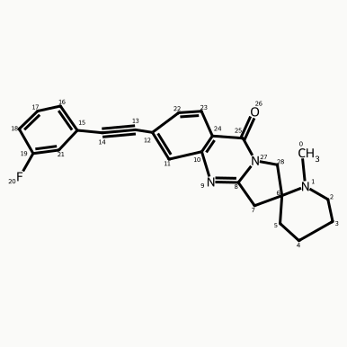 CN1CCCCC12Cc1nc3cc(C#Cc4cccc(F)c4)ccc3c(=O)n1C2